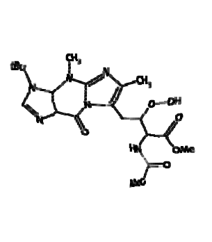 COC(=O)NC(C(=O)OC)C(Cc1c(C)nc2n1C(=O)C1N=CN(C(C)(C)C)C1N2C)OO